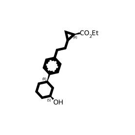 CCOC(=O)[C@@H]1CC1CCc1ccc([C@@H]2CCC[C@H](O)C2)cc1